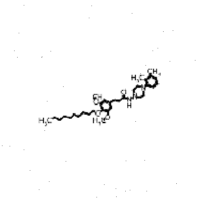 CCCCCCCCCCOc1c(OC)cc(C=CC(=O)NN2CCN(c3cccc(C)c3C)CC2)cc1OC